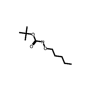 CCCCCO[N]C(=O)OC(C)(C)C